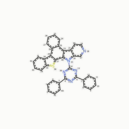 c1ccc(-c2nc(-c3ccccc3)nc(-n3c4cnccc4c4c5ccccc5c5c6ccccc6sc5c43)n2)cc1